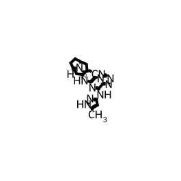 Cc1cc(Nc2nc(N[C@@H]3CCC4CC[C@@H](C3)N4CCC#N)cn3cnnc23)n[nH]1